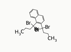 CCCC(Br)(Br)c1ccc2ccccc2c1C(Br)(Br)CCC